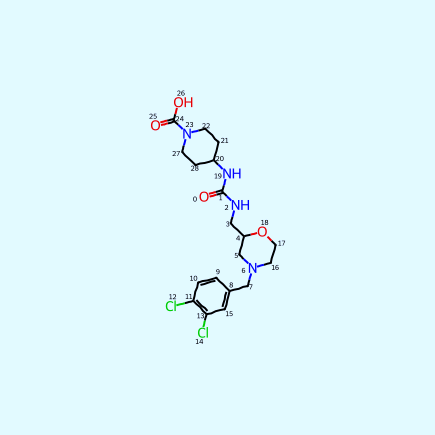 O=C(NCC1CN(Cc2ccc(Cl)c(Cl)c2)CCO1)NC1CCN(C(=O)O)CC1